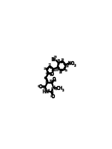 CN1C(=O)NC(=O)C(=Cc2ccc(-c3ccc([N+](=O)[O-])cc3Br)o2)C1=O